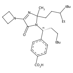 CCC(CCC1(C)N=C(N2CCC2)C(=O)N1[C@H](CCC(C)(C)C)c1ccc(C(=O)O)cc1)C(C)(C)C